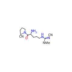 CN/C(=N/C#N)NCCC[C@H](N)C(=O)N1CCC[C@H]1C#N